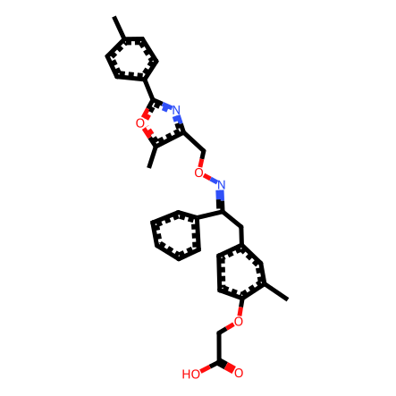 Cc1ccc(-c2nc(CON=C(Cc3ccc(OCC(=O)O)c(C)c3)c3ccccc3)c(C)o2)cc1